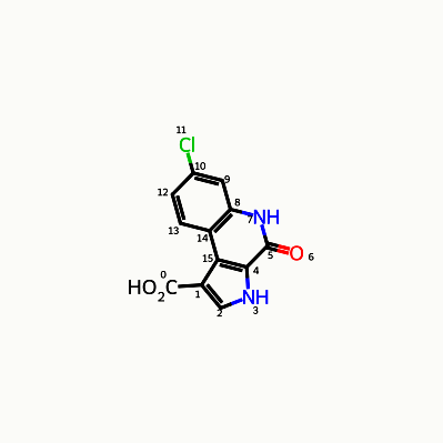 O=C(O)c1c[nH]c2c(=O)[nH]c3cc(Cl)ccc3c12